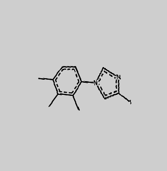 Cc1ccc(-n2cnc(I)c2)c(C)c1C